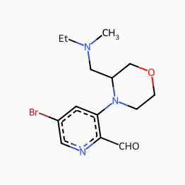 CCN(C)CC1COCCN1c1cc(Br)cnc1C=O